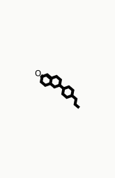 CCCC1CCC(C2CCC3=CC(=O)CCC3C2)CC1